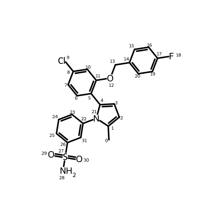 Cc1ccc(-c2ccc(Cl)cc2OCc2ccc(F)cc2)n1-c1cccc(S(N)(=O)=O)c1